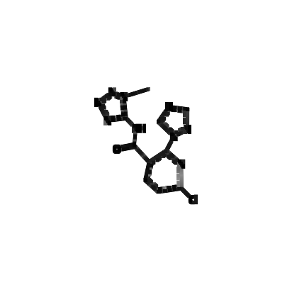 Cn1nnnc1NC(=O)c1ccc(Cl)nc1-n1cncn1